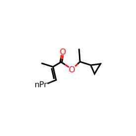 CCCC=C(C)C(=O)OC(C)C1CC1